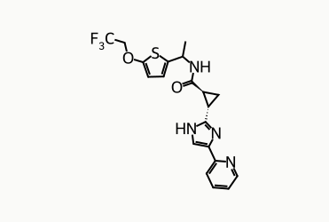 CC(NC(=O)[C@H]1C[C@@H]1c1nc(-c2ccccn2)c[nH]1)c1ccc(OCC(F)(F)F)s1